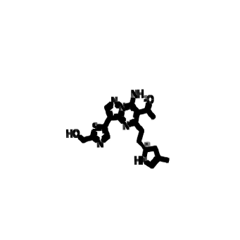 CC(=O)c1c(CC[C@H]2CC(C)=CN2)nc2c(-c3cnc(CO)s3)cnn2c1N